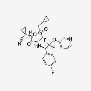 N#CC1(NC(=O)C(CS(=O)(=O)CC2CC2)N[C@H](c2ccc(F)cc2)C(F)(F)Oc2cccnc2)CC1